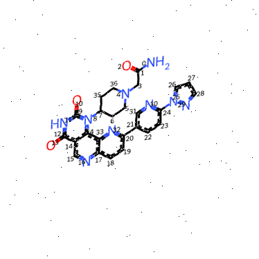 NC(=O)CN1CCC(n2c(=O)[nH]c(=O)c3cnc4ccc(-c5ccc(-n6cccn6)nc5)nc4c32)CC1